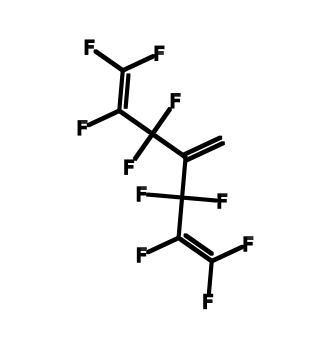 C=C(C(F)(F)C(F)=C(F)F)C(F)(F)C(F)=C(F)F